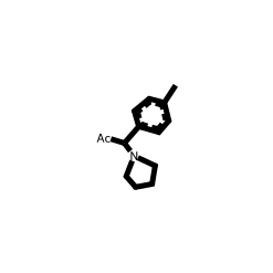 CC(=O)C(c1ccc(C)cc1)N1CCCC1